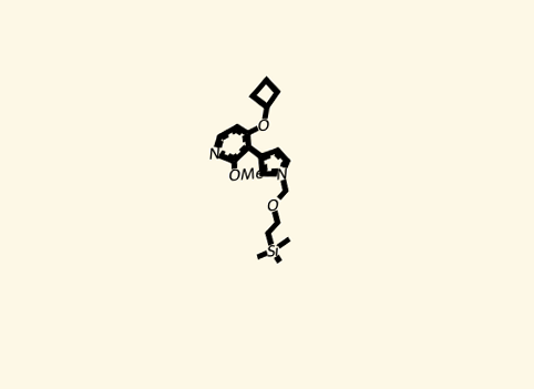 COc1nccc(OC2CCC2)c1-c1ccn(COCC[Si](C)(C)C)c1